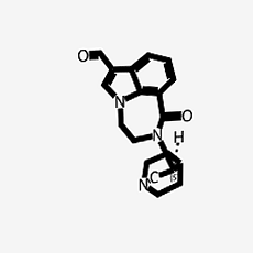 O=Cc1cn2c3c(cccc13)C(=O)N([C@@H]1CN3CCC1CC3)CC2